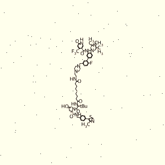 Cc1ncsc1-c1ccc(CNC(=O)[C@@H]2C[C@@H](O)CN2C(=O)[C@@H](NC(=O)CCCCCCCC(=O)NCCN2CCN(Cc3ccc(F)c(-c4ccc(N5C[C@@H](C)N(C)[C@@H](C)C5)c(NC(=O)c5c[nH]c(=O)cc5C(F)(F)F)c4)c3)CC2)C(C)(C)C)cc1